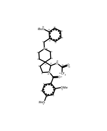 COc1cc(SC)ccc1C(=O)N1CCC2(CCN(Cc3ccccc3OCC(C)C)CC2)C1OC(=O)C(F)(F)F